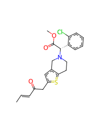 C/C=C/C(=O)Cc1cc2c(s1)CCN([C@H](C(=O)OC)c1ccccc1Cl)C2